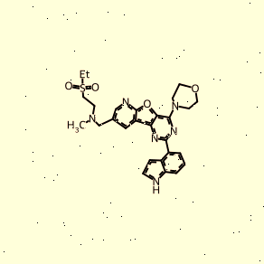 CCS(=O)(=O)CCN(C)Cc1cnc2oc3c(N4CCOCC4)nc(-c4cccc5[nH]ccc45)nc3c2c1